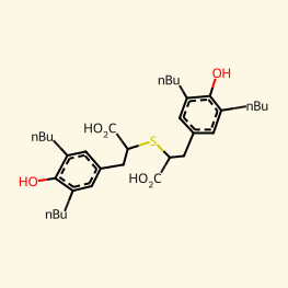 CCCCc1cc(CC(SC(Cc2cc(CCCC)c(O)c(CCCC)c2)C(=O)O)C(=O)O)cc(CCCC)c1O